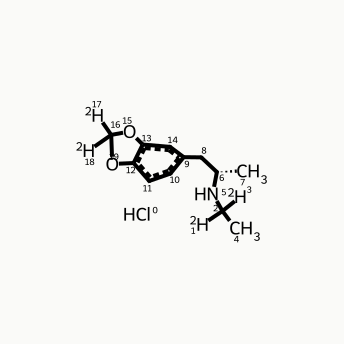 Cl.[2H]C([2H])(C)N[C@@H](C)Cc1ccc2c(c1)OC([2H])([2H])O2